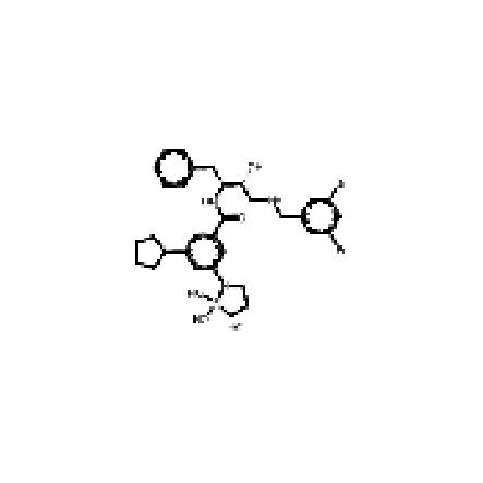 Cl.O=C(N[C@@H](Cc1ccccc1)[C@H](O)CNCc1cc(Br)cc(Br)c1)c1cc(C2CCCC2)cc(N2CCCS2(O)O)c1